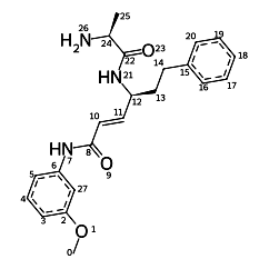 COc1cccc(NC(=O)/C=C/[C@H](CCc2ccccc2)NC(=O)[C@H](C)N)c1